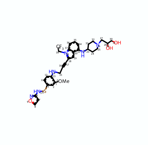 COc1cc(SNc2ccon2)ccc1NCC#Cc1cc2c(NC3CCN(CC(O)CO)CC3)cccc2n1CC(F)(F)F